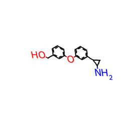 NC1CC1c1cccc(Oc2cccc(CO)c2)c1